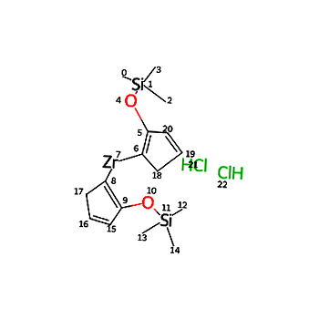 C[Si](C)(C)OC1=[C]([Zr][C]2=C(O[Si](C)(C)C)C=CC2)CC=C1.Cl.Cl